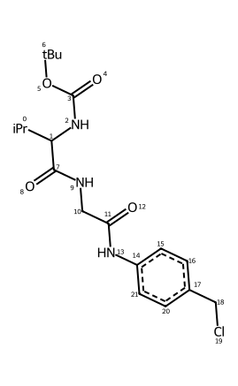 CC(C)C(NC(=O)OC(C)(C)C)C(=O)NCC(=O)Nc1ccc(CCl)cc1